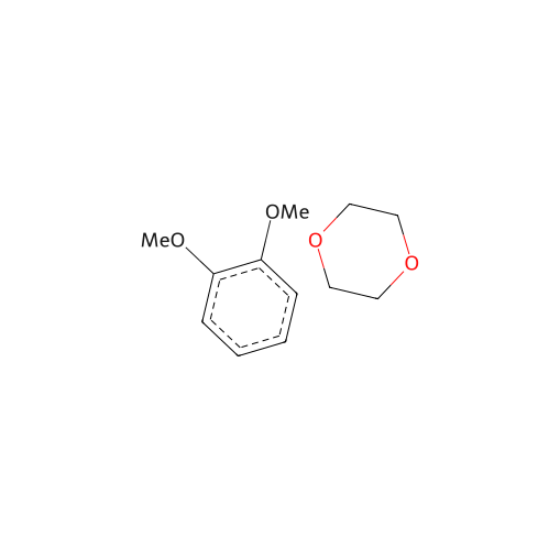 C1COCCO1.COc1ccccc1OC